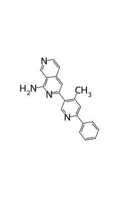 Cc1cc(-c2ccccc2)ncc1-c1cc2ccncc2c(N)n1